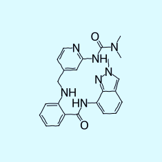 CN(C)C(=O)Nc1cc(CNc2ccccc2C(=O)Nc2cccc3cn(C)nc23)ccn1